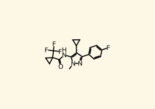 Cn1nc(-c2ccc(F)cc2)c(C2CC2)c1NC(=O)C1(C(F)(F)F)CC1